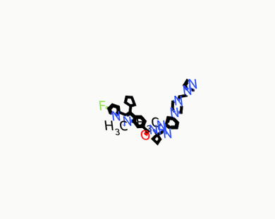 Cn1c(C2(NC(=O)c3ccc4c(C5CCCC5)c(-c5ccc(F)cn5)n(C)c4c3)CCC2)nc2ccc(N3CCN(CCn4ccnc4)CC3)cc21